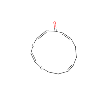 O=C1C=CCC=CCCCC=CCCC=C1